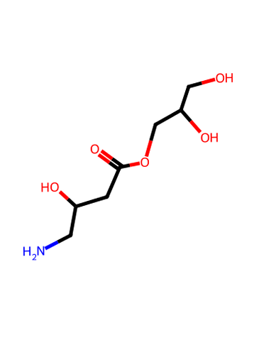 NCC(O)CC(=O)OCC(O)CO